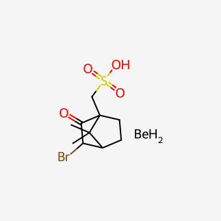 CC1(C)C2CCC1(CS(=O)(=O)O)C(=O)C2Br.[BeH2]